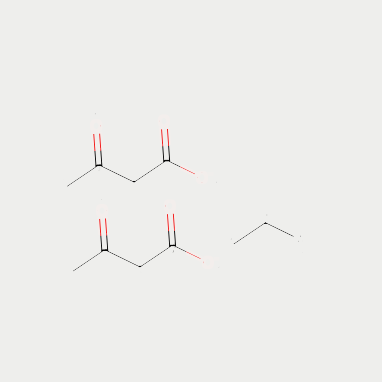 CC(=O)CC(=O)[O-].CC(=O)CC(=O)[O-].C[CH2][Al+2]